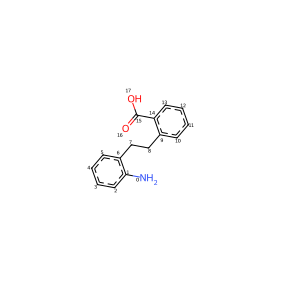 Nc1ccccc1CCc1ccccc1C(=O)O